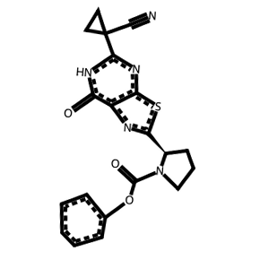 N#CC1(c2nc3sc([C@H]4CCCN4C(=O)Oc4ccccc4)nc3c(=O)[nH]2)CC1